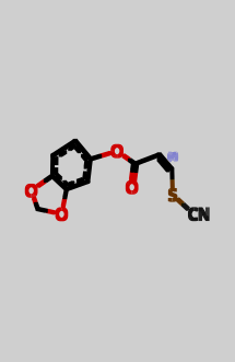 N#CS/C=C\C(=O)Oc1ccc2c(c1)OCO2